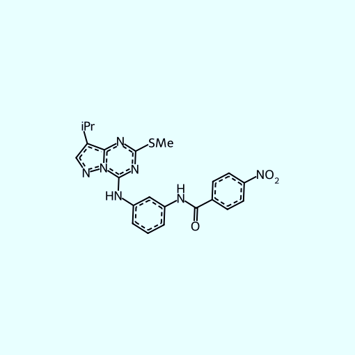 CSc1nc(Nc2cccc(NC(=O)c3ccc([N+](=O)[O-])cc3)c2)n2ncc(C(C)C)c2n1